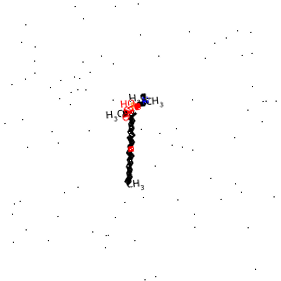 CCCCCCCCCCCCCCCCCCCC(COP(O)OCCN(C)C)OC(C)=O